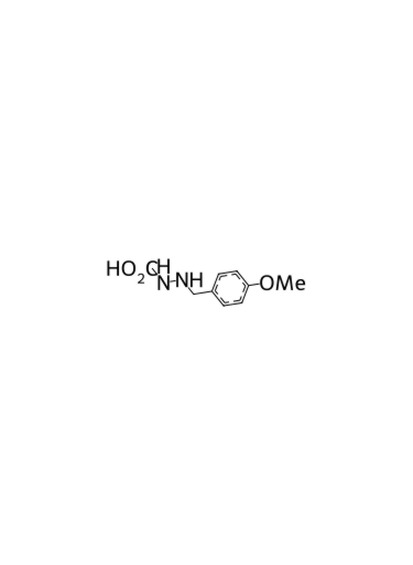 COc1ccc(CNNC(=O)O)cc1